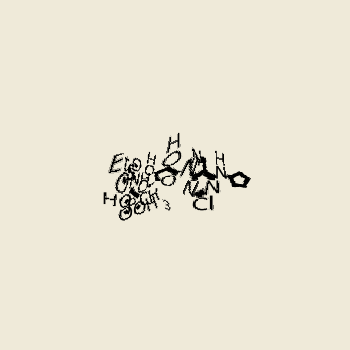 CCS(=O)(=O)NCC(C)(OC[C@H]1O[C@@H](n2ncc3c(NC4CCCC4)nc(Cl)nc32)[C@H](O)[C@@H]1O)P(=O)(O)O